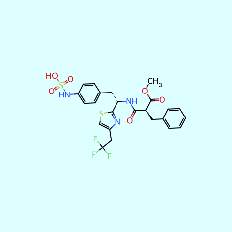 COC(=O)[C@@H](Cc1ccccc1)C(=O)N[C@@H](Cc1ccc(NS(=O)(=O)O)cc1)c1nc(CC(F)(F)F)cs1